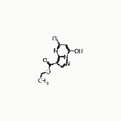 CCOC(=O)c1cnn2c(O)cc(Cl)nc12